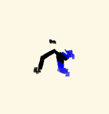 C=CC(N)N.[Ag]